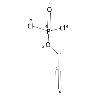 C#CCOP(=O)(Cl)Cl